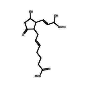 CCCCCC(O)C=CC1C(O)CC(=O)C1CC=CCCCC(=O)OC